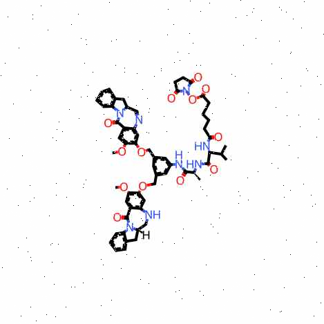 COc1cc2c(cc1OCc1cc(COc3cc4c(cc3OC)C(=O)N3c5ccccc5C[C@H]3CN4)cc(NC(=O)[C@H](C)NC(=O)[C@@H](NC(=O)CCCCC(=O)ON3C(=O)CCC3=O)C(C)C)c1)N=CC1Cc3ccccc3N1C2=O